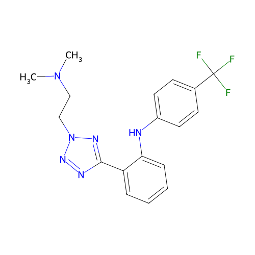 CN(C)CCn1nnc(-c2ccccc2Nc2ccc(C(F)(F)F)cc2)n1